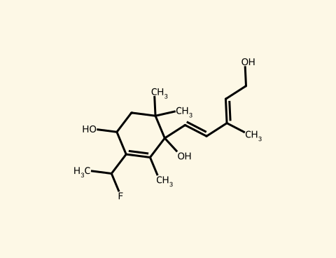 CC(C=CC1(O)C(C)=C(C(C)F)C(O)CC1(C)C)=CCO